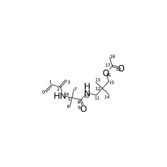 C=CC(=C)NC(C)(C)C(=O)NCC(C)(C)COC(C)=O